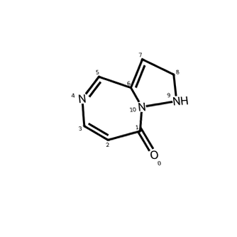 O=C1C=CN=CC2=CCNN12